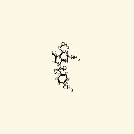 CSc1nc(N)nc2c1c(I)cn2S(=O)(=O)c1ccc(C)cc1